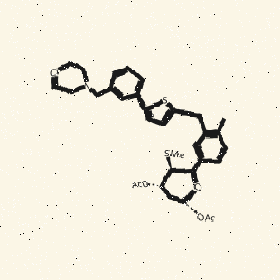 CS[C@H]1C(c2ccc(C)c(Cc3ccc(-c4cccc(CN5CCOCC5)c4)s3)c2)O[C@H](OC(C)=O)C[C@@H]1OC(C)=O